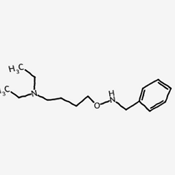 CCN(CC)CCCCONCc1ccccc1